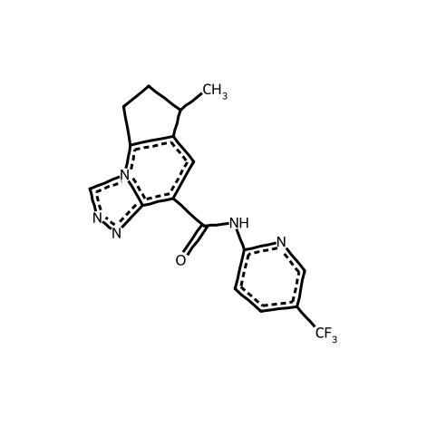 CC1CCc2c1cc(C(=O)Nc1ccc(C(F)(F)F)cn1)c1nncn21